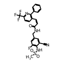 CS(=O)(=O)Nc1c(F)cc(CNC(=O)/C=C\c2ccc(C(F)(F)F)nc2-c2ccccc2)cc1C#N